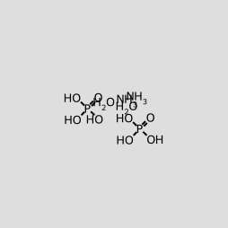 N.N.O.O.O=P(O)(O)O.O=P(O)(O)O